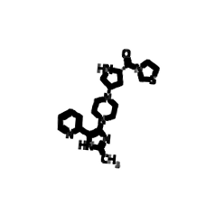 Cc1nc(N2CCN([C@@H]3CN[C@H](C(=O)N4CCSC4)C3)CC2)c(-c2ccccn2)[nH]1